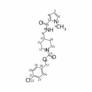 Cn1cccc1C(=O)NCC1CCN(C(=O)OCc2ccc(Cl)cc2)CC1